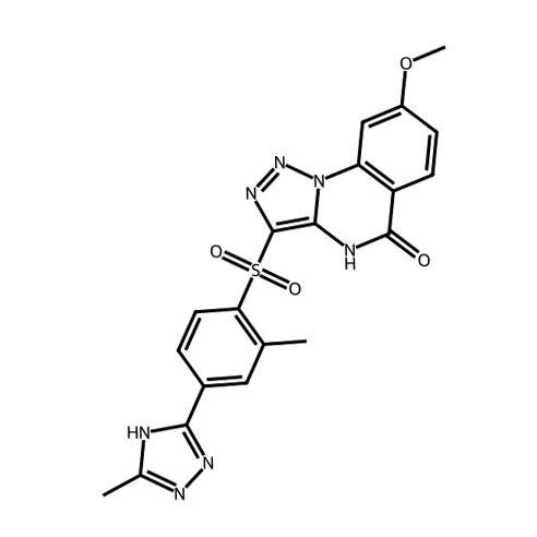 COc1ccc2c(=O)[nH]c3c(S(=O)(=O)c4ccc(-c5nnc(C)[nH]5)cc4C)nnn3c2c1